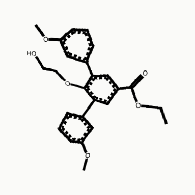 CCOC(=O)c1cc(-c2cccc(OC)c2)c(OCCO)c(-c2cccc(OC)c2)c1